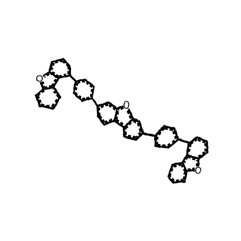 c1ccc2c(c1)oc1cccc(-c3ccc(-c4ccc5c(c4)oc4cc(-c6ccc(-c7cccc8oc9ccccc9c78)cc6)ccc45)cc3)c12